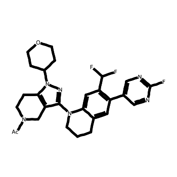 CC(=O)N1CCc2c(c(N3CCCc4cc(-c5cnc(F)nc5)c(C(F)F)cc43)nn2C2CCOCC2)C1